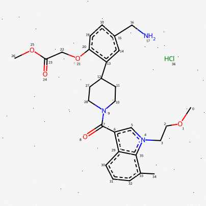 COCCn1cc(C(=O)N2CCC(c3cc(CN)ccc3OCC(=O)OC)CC2)c2cccc(C)c21.Cl